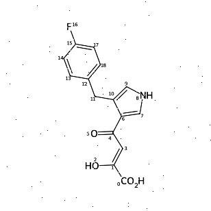 O=C(O)/C(O)=C/C(=O)c1c[nH]cc1Cc1ccc(F)cc1